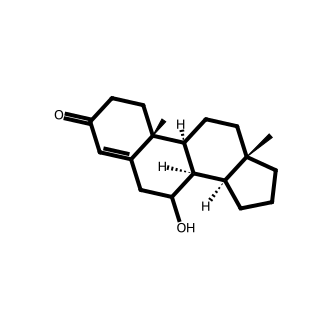 C[C@@]12CCC[C@H]1[C@H]1C(O)CC3=CC(=O)CC[C@]3(C)[C@H]1CC2